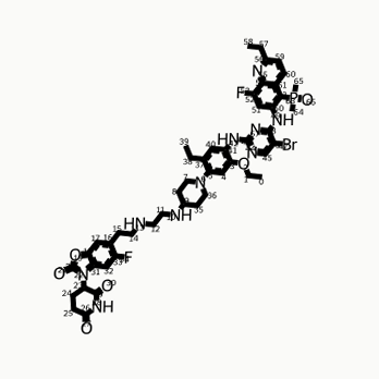 CCOc1cc(N2CCC(NCCNCCc3cc4oc(=O)n(C5CCC(=O)NC5=O)c4cc3F)CC2)c(CC)cc1Nc1ncc(Br)c(Nc2cc(F)c3nc(CC)ccc3c2P(C)(C)=O)n1